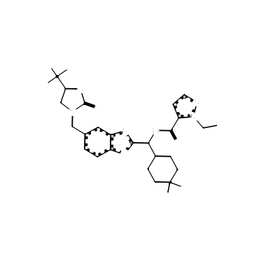 CCn1nccc1C(=O)NC(c1nc2cc(CN3CC(C(F)(F)F)NC3=O)ccc2o1)C1CCC(F)(F)CC1